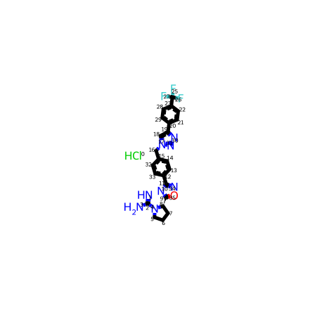 Cl.N=C(N)N1CCC[C@H]1c1nc(-c2ccc(Cn3cc(-c4ccc(C(F)(F)F)cc4)nn3)cc2)no1